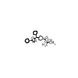 CC(C)(C)OC(=O)N1CCC(=C(c2ccccc2)c2nnc(-c3ccccc3)o2)CC1